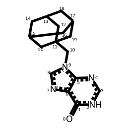 O=c1[nH]cnc2c1ncn2CC12CC3CC(CC(C3)C1)C2